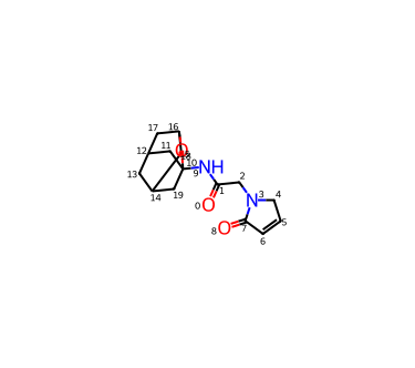 O=C(CN1CC=CC1=O)NC12CC3CC(CC(C3)O1)C2